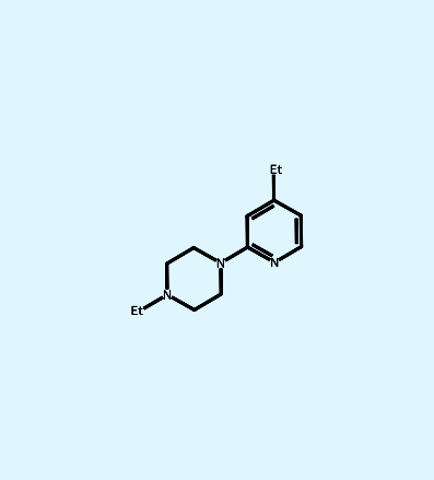 CCc1ccnc(N2CCN(CC)CC2)c1